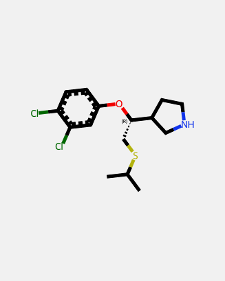 CC(C)SC[C@H](Oc1ccc(Cl)c(Cl)c1)C1CCNC1